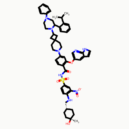 CC(C)c1ccccc1C1CN(c2ccccc2)CCN1C1CC2(CCN(c3ccc(C(=O)NS(=O)(=O)c4ccc(NC[C@H]5CC[C@](C)(O)CC5)c([N+](=O)[O-])c4)c(Oc4cnc5[nH]ccc5c4)c3)CC2)C1